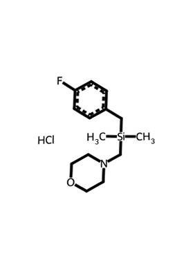 C[Si](C)(Cc1ccc(F)cc1)CN1CCOCC1.Cl